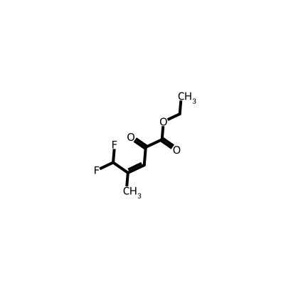 CCOC(=O)C(=O)/C=C(/C)C(F)F